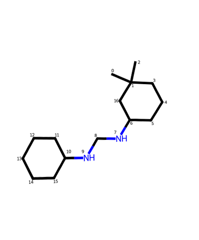 CC1(C)CCCC(NCNC2CCCCC2)C1